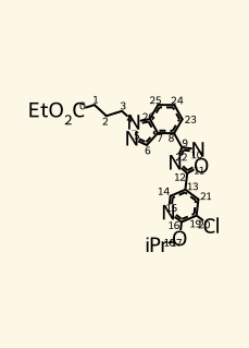 CCOC(=O)CCCn1ncc2c(-c3noc(-c4cnc(OC(C)C)c(Cl)c4)n3)cccc21